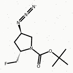 CC(C)(C)OC(=O)N1C[C@H](N=[N+]=[N-])C[C@H]1CF